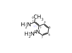 C/C(N)=C1\C=CC=CN1N